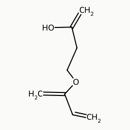 C=CC(=C)OCCC(=C)O